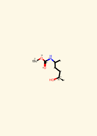 CC(CC[C@@H](C)O)NC(=O)OC(C)(C)C